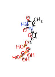 Cc1cn([C@H]2CCC(COP(O)OP(O)OP(O)O)O2)c(=O)[nH]c1=O